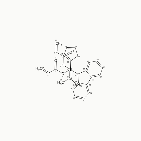 C=CC(=O)[O][Ti]([O]C(=O)C=C)([C]1=CC=CC1)([CH]1c2ccccc2-c2ccccc21)=[Si](C)C